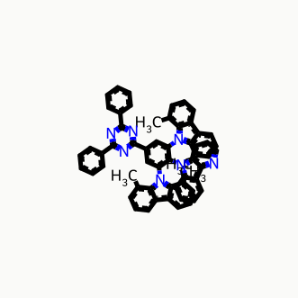 Cc1cccc2c3cccc(C)c3n(-c3cc(-c4nc(-c5ccccc5)nc(-c5ccccc5)n4)cc(-n4c5c(C)cccc5c5cccc(C)c54)c3-n3c4ccccc4c4ncccc43)c12